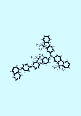 CC1(C)c2ccccc2-c2ccc(N(c3ccc4c(c3)C(C)(C)c3ccccc3-4)c3ccc4c(c3)C(C)(C)c3cc(-c5ccc(-c6cccc7ccccc67)cc5)ccc3-4)cc21